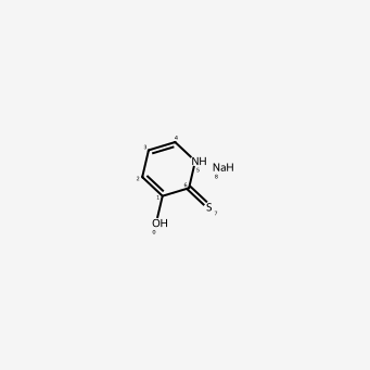 Oc1ccc[nH]c1=S.[NaH]